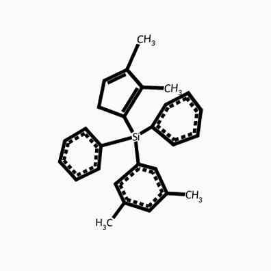 CC1=CCC([Si](c2ccccc2)(c2ccccc2)c2cc(C)cc(C)c2)=C1C